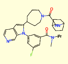 CC(C)N(C)C(=O)c1cc(F)cc(-n2c(C3CCCN(C(=O)C4NC5CCC4CC5)CC3)cc3ccncc32)c1